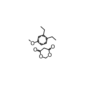 CCc1ccc(OC)cc1CC.O=C1CC(=O)OCO1